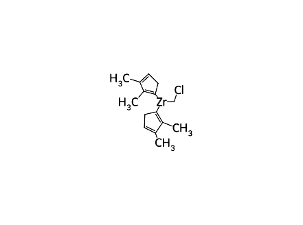 CC1=CC[C]([Zr]([CH2]Cl)[C]2=C(C)C(C)=CC2)=C1C